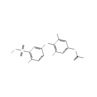 CCCCNS(=O)(=O)c1cc(Oc2c(C)cc(NC(=O)C(=O)O)cc2C)ccc1O